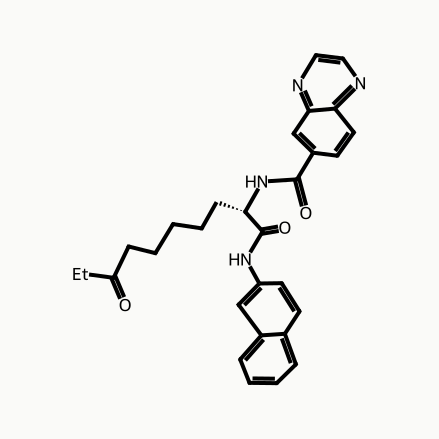 CCC(=O)CCCCC[C@H](NC(=O)c1ccc2nccnc2c1)C(=O)Nc1ccc2ccccc2c1